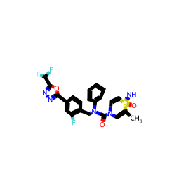 CC1=CN(C(=O)N(Cc2ccc(-c3nnc(C(F)F)o3)cc2F)c2ccccc2)C=CS1(=N)=O